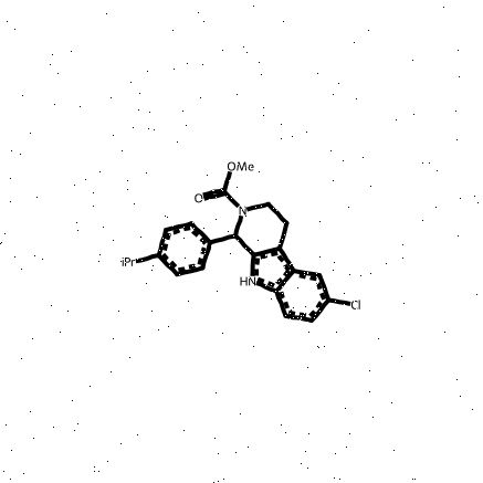 COC(=O)N1CCc2c([nH]c3ccc(Cl)cc23)C1c1ccc(C(C)C)cc1